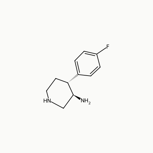 N[C@H]1CNCC[C@@H]1c1ccc(F)cc1